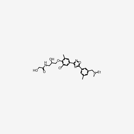 CCN(C)Cc1cc(C)cc(-c2nc(-c3cc(C)c(OCC(O)CNC(=O)CO)c(Cl)c3)no2)c1